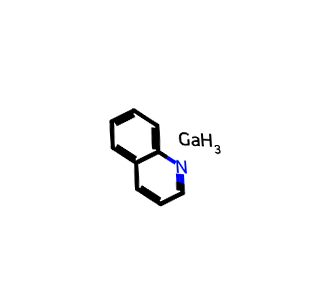 [GaH3].c1ccc2ncccc2c1